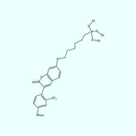 CCCCCc1ccc(-c2cc3ccc(OCCCCCC[Si](OCC)(OCC)OCC)cc3oc2=O)c(C(F)(F)F)c1